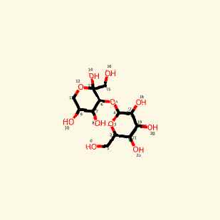 OCC1OC(OC2C(O)C(O)COC2(O)CO)C(O)C(O)C1O